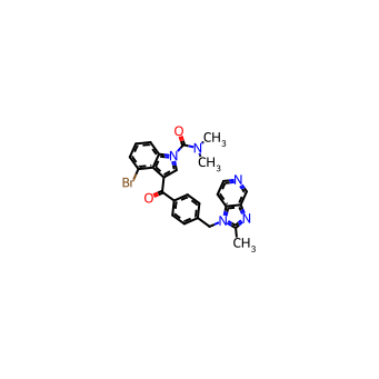 Cc1nc2cnccc2n1Cc1ccc(C(=O)c2cn(C(=O)N(C)C)c3cccc(Br)c23)cc1